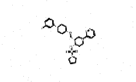 O=S(=O)(N[C@H]1CCN(c2cccnn2)C[C@H]1CO[C@H]1CC[C@@H](c2cccc(F)c2)CC1)N1CCCC1